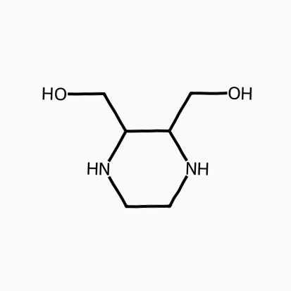 OCC1NCCNC1CO